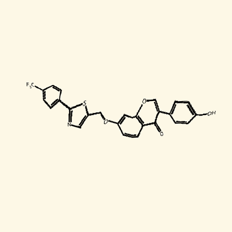 O=c1c(-c2ccc(O)cc2)coc2cc(OCc3cnc(-c4ccc(C(F)(F)F)cc4)s3)ccc12